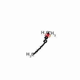 C=C(C)C(=O)Oc1ccc(C2CCC(CCCCCCCCCCCCCCCC)CC2)cc1